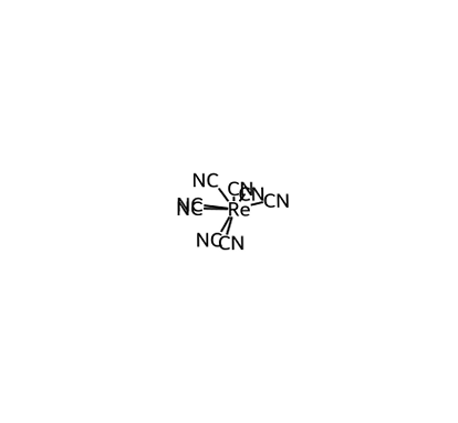 N#[C][Re]([C]#N)([C]#N)([C]#N)([C]#N)([C]#N)([C]#N)[C]#N